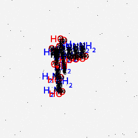 CCCCCCCCCCCCCCCC(=O)NCC(=O)O.NCCCCC(N)C(=O)O.NCCCCC(N)C(=O)O.NCCCCC(N)C(=O)O.NCCCCC(N)C(=O)O.NCCCCC(N)C(=O)O.O=C(O)CCCC[C@@H]1SC[C@@H]2NC(=O)N[C@@H]21